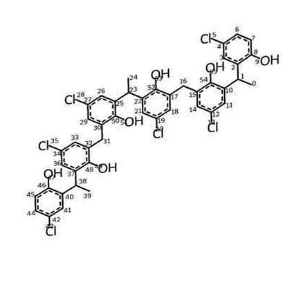 CC(c1cc(Cl)ccc1O)c1cc(Cl)cc(Cc2cc(Cl)cc(C(C)c3cc(Cl)cc(Cc4cc(Cl)cc(C(C)c5cc(Cl)ccc5O)c4O)c3O)c2O)c1O